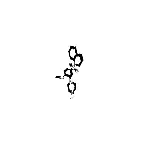 COc1ccc(S(=O)(=O)N2CCCC3CCCCC32)cc1N1CCNCC1